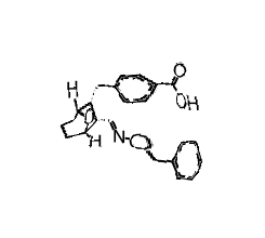 O=C(O)c1ccc(C[C@@H]2[C@H](C=NOCc3ccccc3)[C@@H]3CC[C@H]2O3)cc1